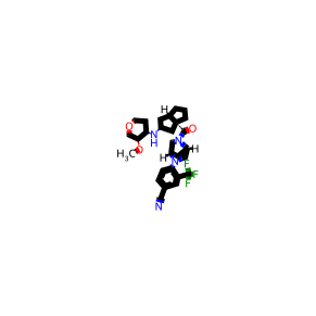 CO[C@@H]1COCC[C@@H]1N[C@@H]1C[C@H]2CCC[C@@]2(C(=O)N2C[C@@H]3C[C@H]2CN3c2ccc(C#N)cc2C(F)(F)F)C1